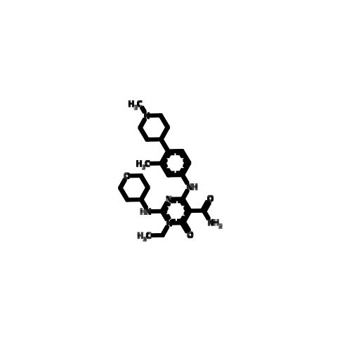 CCn1c(NC2CCOCC2)nc(Nc2ccc(C3CCN(C)CC3)c(C)c2)c(C(N)=O)c1=O